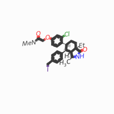 CC[C@@]12CC[C@@H](c3ccc(OCC(=O)NC)cc3Cl)[C@H](c3ccc(CI)cc3)[C@@H]1[C@@H](C)NC2=O